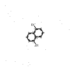 CCc1cccc2c(CC)cccc12